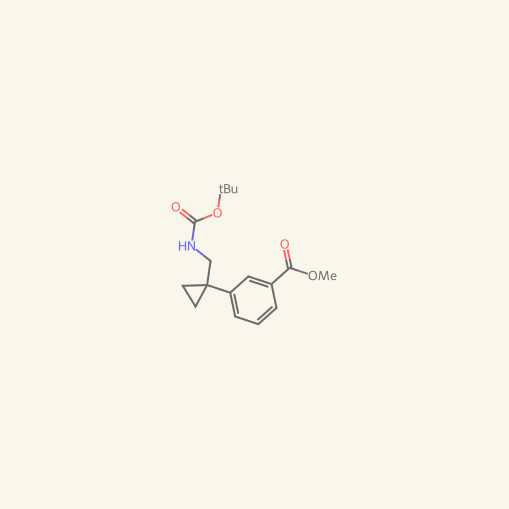 COC(=O)c1cccc(C2(CNC(=O)OC(C)(C)C)CC2)c1